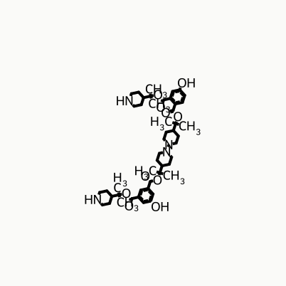 CC(C)(OC(=O)c1cc(O)cc(C(=O)OC(C)(C)C2CCN(N3CCC(C(C)(C)OC(=O)c4ccc(O)cc4C(=O)OC(C)(C)C4CCNCC4)CC3)CC2)c1)C1CCNCC1